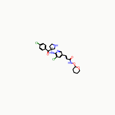 O=C(/C=C/c1cnc(N[C@]2(C(=O)c3ccc(Cl)cc3)CCNC2)c(Cl)c1)NOC1CCCCO1